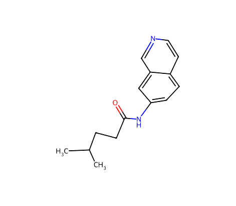 CC(C)CCC(=O)Nc1ccc2ccncc2c1